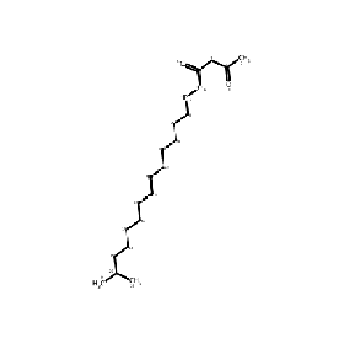 CC(=O)CC(=O)OPCCCCCCCCCCCCC(C)C